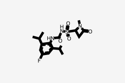 CC(C)c1cc(F)cc(C(C)C)c1NC(=O)NS(=O)(=O)C1CC(=O)N1C